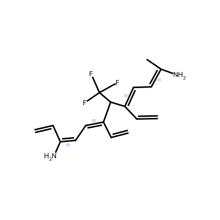 C=C/C(N)=C\C=C(/C=C)C(/C(C=C)=C/C=C(\C)N)C(F)(F)F